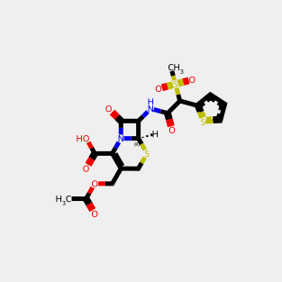 CC(=O)OCC1=C(C(=O)O)N2C(=O)C(NC(=O)C(c3cccs3)S(C)(=O)=O)[C@H]2SC1